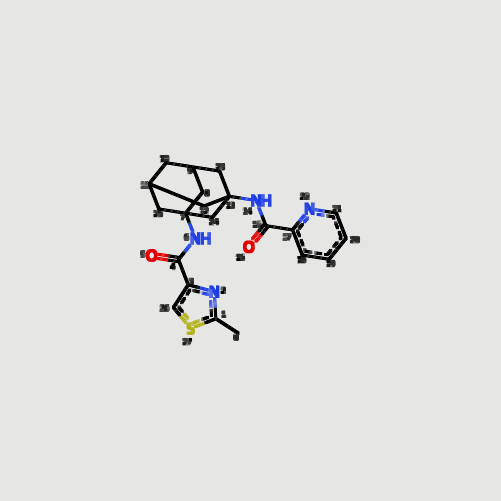 Cc1nc(C(=O)NC23CC4CC(CC(NC(=O)c5ccccn5)(C4)C2)C3)cs1